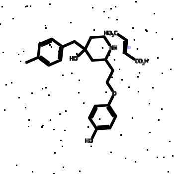 Cc1ccc(CC2(O)CCNC(CCOc3ccc(O)cc3)C2)cc1.O=C(O)/C=C/C(=O)O